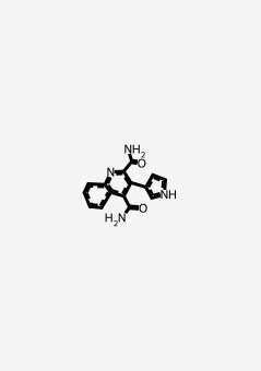 NC(=O)c1nc2ccccc2c(C(N)=O)c1-c1cc[nH]c1